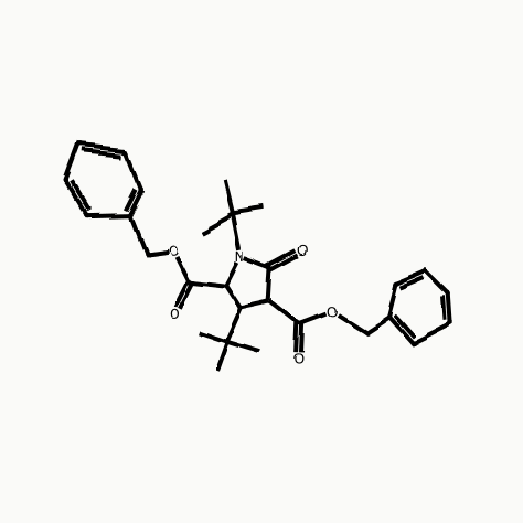 CC(C)(C)C1C(C(=O)OCc2ccccc2)C(=O)N(C(C)(C)C)C1C(=O)OCc1ccccc1